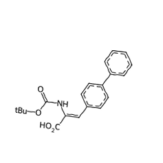 CC(C)(C)OC(=O)NC(=Cc1ccc(-c2ccccc2)cc1)C(=O)O